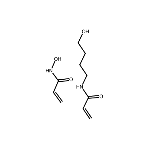 C=CC(=O)NCCCCO.C=CC(=O)NO